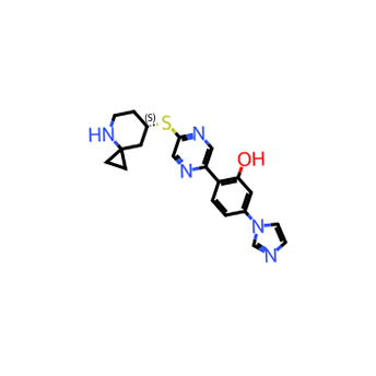 Oc1cc(-n2ccnc2)ccc1-c1cnc(S[C@H]2CCNC3(CC3)C2)cn1